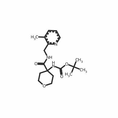 Cc1cccnc1CNC(=O)C1(NC(=O)OC(C)(C)C)CCOCC1